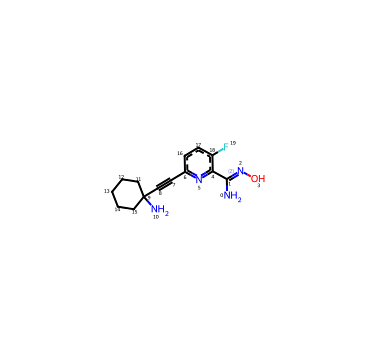 N/C(=N\O)c1nc(C#CC2(N)CCCCC2)ccc1F